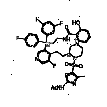 CC(=O)Nc1nc(C)c(S(=O)(=O)N2CCNC[C@@H]2CCc2c(F)cncc2[C@@](CCNC(=O)c2ccccc2O)(c2ccc(F)cc2)c2cc(F)cc(F)c2)s1